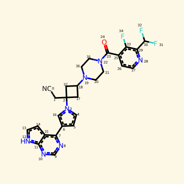 N#CCC1(n2ccc(-c3ncnc4[nH]ccc34)c2)CC(N2CCN(C(=O)c3ccnc(C(F)F)c3F)CC2)C1